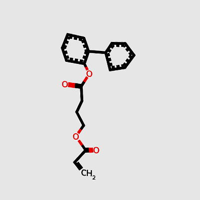 C=CC(=O)OCCCC(=O)Oc1ccccc1-c1ccccc1